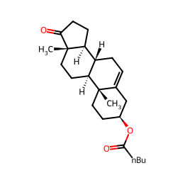 CCCCC(=O)O[C@H]1CC[C@@]2(C)C(=CC[C@@H]3[C@@H]2CC[C@]2(C)C(=O)CC[C@@H]32)C1